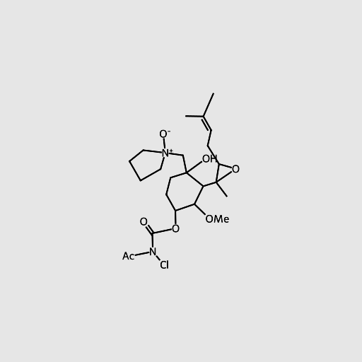 COC1C(OC(=O)N(Cl)C(C)=O)CCC(O)(C[N+]2([O-])CCCC2)C1C1(C)OC1CC=C(C)C